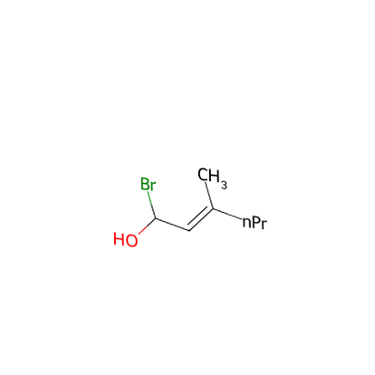 CCCC(C)=CC(O)Br